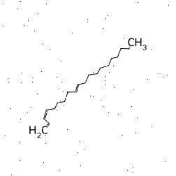 C=C/C=C\CCCCC=CCCCCCCCCCC